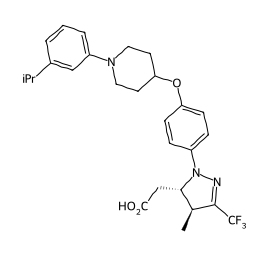 CC(C)c1cccc(N2CCC(Oc3ccc(N4N=C(C(F)(F)F)[C@@H](C)[C@@H]4CC(=O)O)cc3)CC2)c1